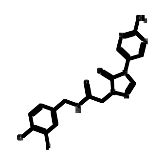 Cc1ncc(-n2cnn(CC(=O)NCc3ccc(Cl)c(F)c3)c2=O)cn1